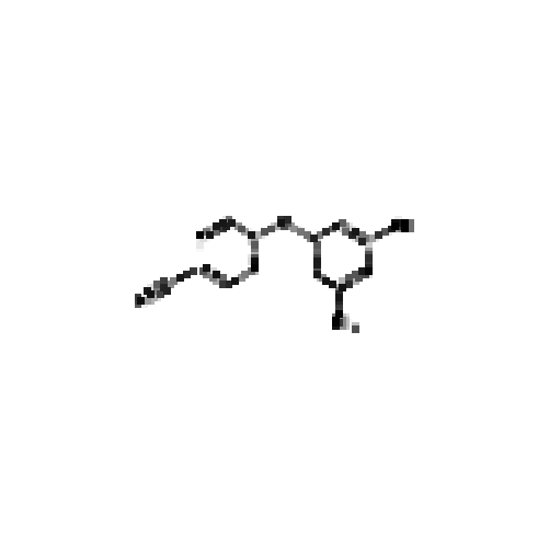 N#Cc1ccc(Oc2cc(N)cc(O)c2)cc1